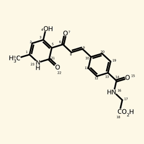 Cc1cc(O)c(C(=O)C=Cc2ccc(C(=O)NCC(=O)O)cc2)c(=O)[nH]1